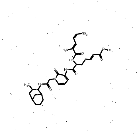 COC(=O)/C=C/CC[C@H](NC(=O)/C(N)=C/C=C\N)C(=O)Nc1cccn(CC(=O)NC2C(C)CC3CCCC2C3)c1=O